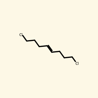 ClCCCC=CCCCCl